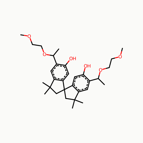 COCCOC(C)c1cc2c(cc1O)C1(CC2(C)C)CC(C)(C)c2cc(C(C)OCCOC)c(O)cc21